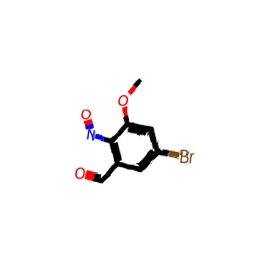 COc1cc(Br)cc(C=O)c1N=O